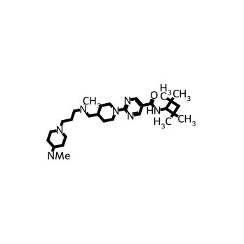 CNC1CCN(CCCN(C)CC2CCN(c3ncc(C(=O)NC4C(C)(C)CC4(C)C)cn3)CC2)CC1